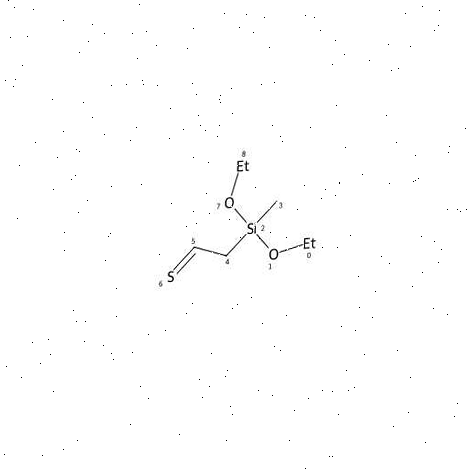 CCO[Si](C)(CC=S)OCC